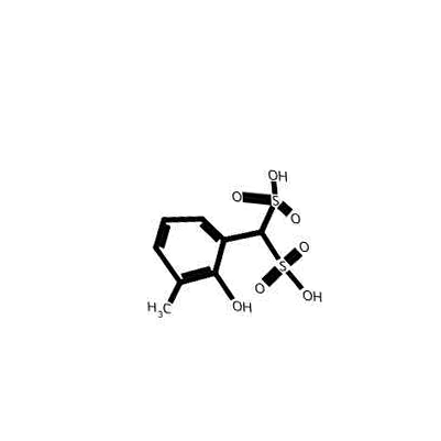 Cc1cccc(C(S(=O)(=O)O)S(=O)(=O)O)c1O